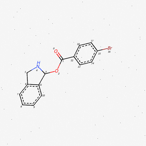 O=C(OC1NCc2ccccc21)c1ccc(Br)cc1